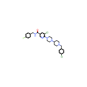 O=C(NCc1ccc(F)cc1)c1cnc(N2CCN(C3CCN(Cc4ccc(Cl)cc4)CC3)CC2)c(Cl)c1